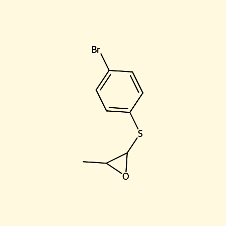 CC1OC1Sc1ccc(Br)cc1